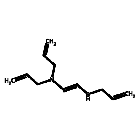 C=CCBC=CN(CC=C)CC=C